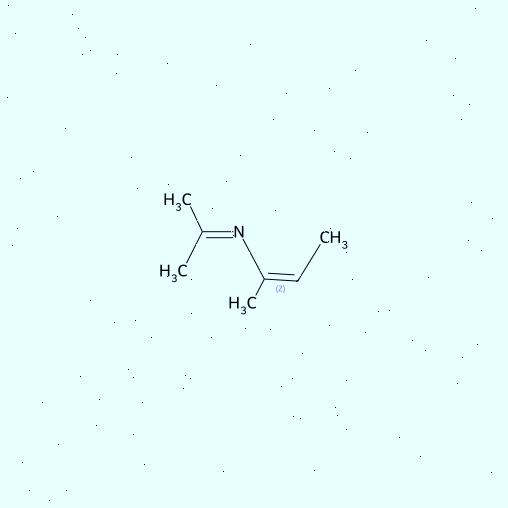 C/C=C(/C)N=C(C)C